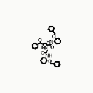 O=C(Cn1nc(C(=O)c2ccccc2)cc1C(=O)N[C@H]1CCCC[C@@H]1OCc1ccccc1)N[C@H]1CCCC[C@@H]1OCc1ccccc1